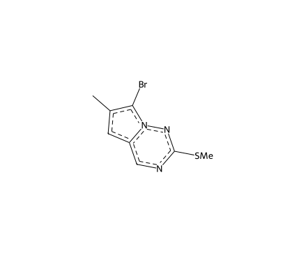 CSc1ncc2cc(C)c(Br)n2n1